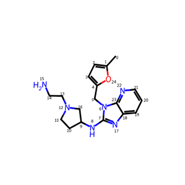 Cc1ccc(Cn2c(NC3CCN(CCN)C3)nc3cccnc32)o1